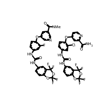 CNC(=O)c1cncc(Oc2ccc(NC(=O)Nc3ccc4c(c3)C(F)(F)OC(F)(F)O4)cc2F)c1.NC(=O)c1cc(Oc2ccc(NC(=O)Nc3ccc4c(c3)C(F)(F)OC(F)(F)O4)cc2Cl)ccn1